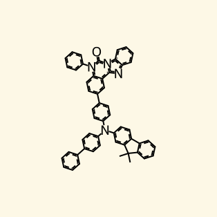 CC1(C)c2ccccc2-c2ccc(N(c3ccc(-c4ccccc4)cc3)c3ccc(-c4ccc5c(c4)c4nc6ccccc6n4c(=O)n5-c4ccccc4)cc3)cc21